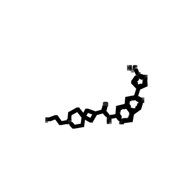 Cn1cc(-c2cc3cc(NC(=O)C4CC5(CCN(CCF)CC5)C4)ncc3cn2)cn1